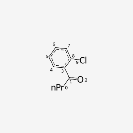 CCCC(=O)c1ccccc1Cl